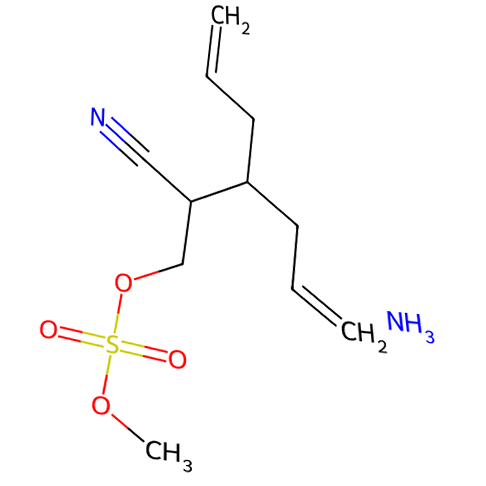 C=CCC(CC=C)C(C#N)COS(=O)(=O)OC.N